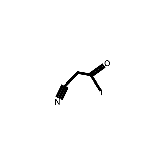 N#CCC(=O)I